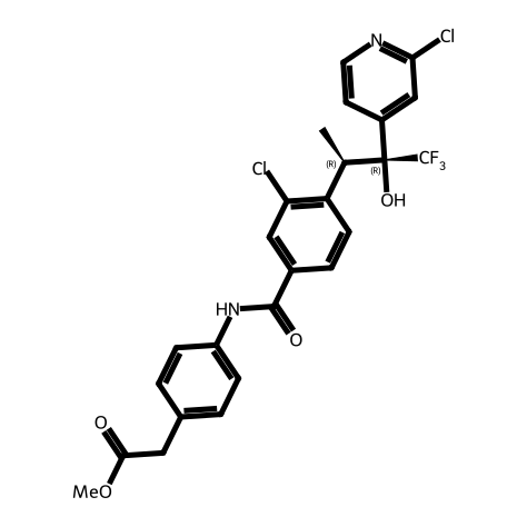 COC(=O)Cc1ccc(NC(=O)c2ccc([C@@H](C)[C@@](O)(c3ccnc(Cl)c3)C(F)(F)F)c(Cl)c2)cc1